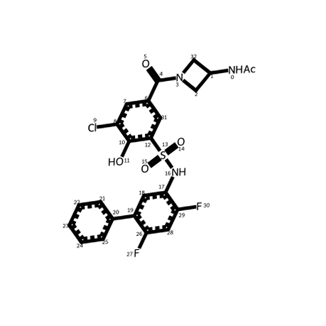 CC(=O)NC1CN(C(=O)c2cc(Cl)c(O)c(S(=O)(=O)Nc3cc(-c4ccccc4)c(F)cc3F)c2)C1